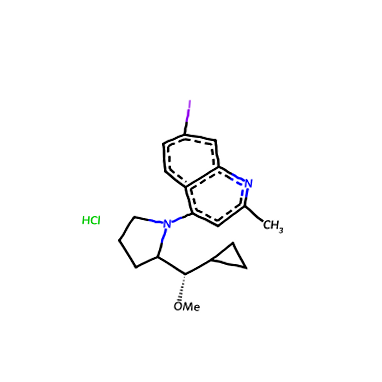 CO[C@@H](C1CC1)C1CCCN1c1cc(C)nc2cc(I)ccc12.Cl